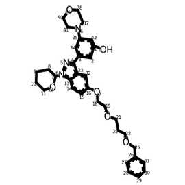 Oc1cc(-c2nn(C3CCCCO3)c3ccc(OCCOCCCOCc4ccccc4)cc23)cc(N2CCOCC2)c1